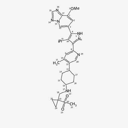 COc1cc(-c2[nH]nc(-c3cc(C)c(C4CCC(NCC5(S(C)(=O)=O)CC5)CC4)cn3)c2C(C)C)cn2ncnc12